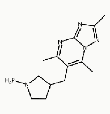 Cc1nc2nc(C)c(CC3CCN(P)C3)c(C)n2n1